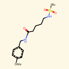 COc1ccc(CNC(=O)CCCCNS(=O)(=O)C(C)(C)C)cc1